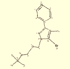 Cc1c(-c2ccncc2)nn(COCC[Si](C)(C)C)c1Br